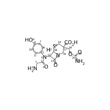 NCC(=O)N(c1ccc(O)cc1)C1C(=O)N2CC(COC(N)=O)(C(=O)O)CS[C@H]12